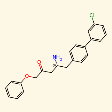 N[C@@H](CC(=O)COc1ccccc1)Cc1ccc(-c2cccc(Cl)c2)cc1